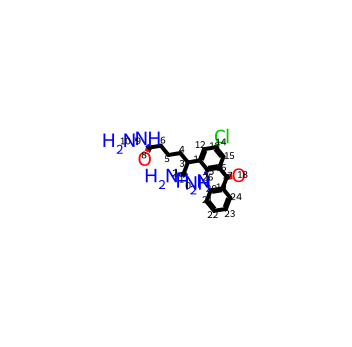 N=C(N)C(CCCC(=O)NN)c1cc(Cl)cc(C(=O)c2ccccc2)c1N